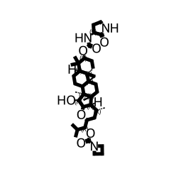 CC(C)[C@@H](OC(=O)N1CCC1)C1C[C@@H](C)[C@H]2C(O1)[C@H](O)[C@@]1(C)C3CC[C@H]4C(C)(C)[C@@H](OC(=O)N[C@H]5CCNC5=O)CC[C@@]45C[C@@]35CC[C@]21C